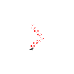 O.O.O.O.O.O.O.[Mg+2].[O-2]